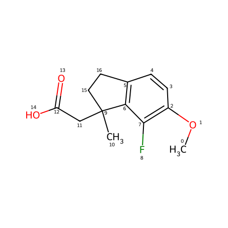 COc1ccc2c(c1F)C(C)(CC(=O)O)CC2